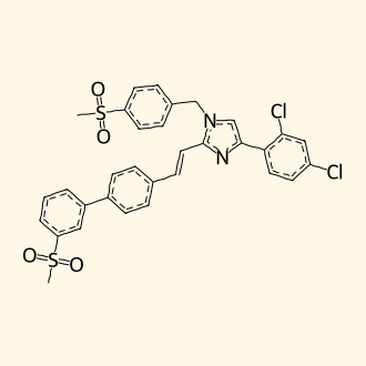 CS(=O)(=O)c1ccc(Cn2cc(-c3ccc(Cl)cc3Cl)nc2C=Cc2ccc(-c3cccc(S(C)(=O)=O)c3)cc2)cc1